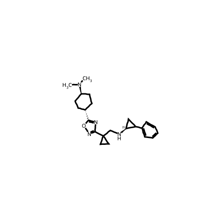 CN(C)[C@H]1CC[C@H](c2nc(C3(CN[C@H]4CC4c4ccccc4)CC3)no2)CC1